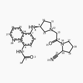 CC(=O)Nc1ccc(N[C@H]2CCN(CC(=O)N3CCCC3C#N)C2)c2cccnc12